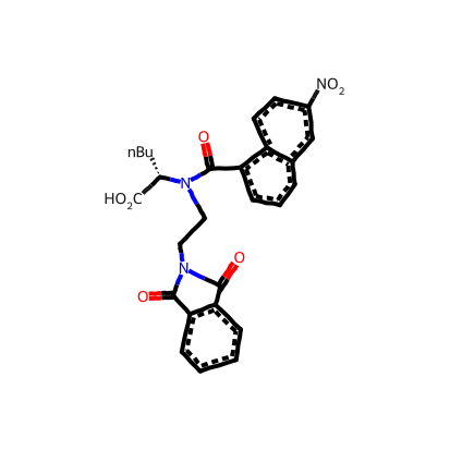 CCCC[C@@H](C(=O)O)N(CCN1C(=O)c2ccccc2C1=O)C(=O)c1cccc2cc([N+](=O)[O-])ccc12